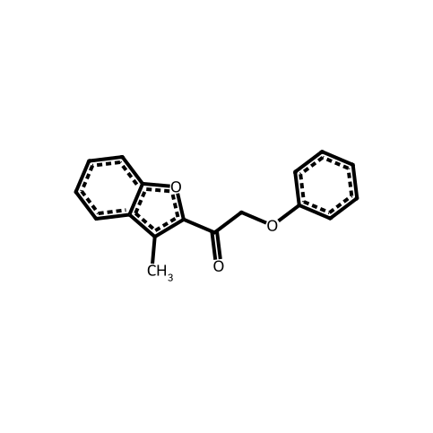 Cc1c(C(=O)COc2ccccc2)oc2ccccc12